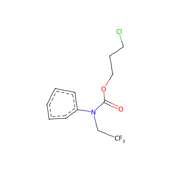 O=C(OCCCCl)N(CC(F)(F)F)c1ccccc1